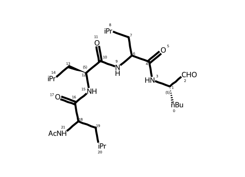 CCCC[C@@H](C=O)NC(=O)C(CC(C)C)NC(=O)[C@H](CC(C)C)NC(=O)C(CC(C)C)NC(C)=O